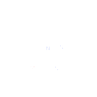 Cc1ccccc1-n1nc(C)n(C)c1=O